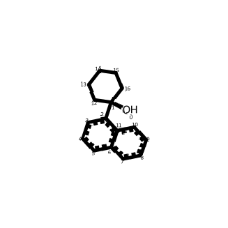 OC1(c2cccc3ccccc23)CCCCC1